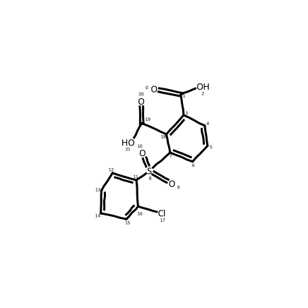 O=C(O)c1cccc(S(=O)(=O)c2ccccc2Cl)c1C(=O)O